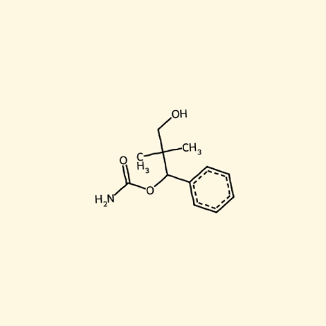 CC(C)(CO)C(OC(N)=O)c1ccccc1